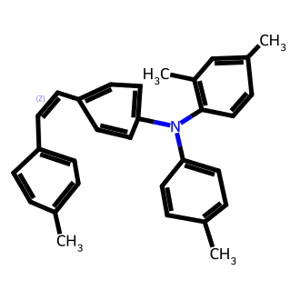 Cc1ccc(/C=C\c2ccc(N(c3ccc(C)cc3)c3ccc(C)cc3C)cc2)cc1